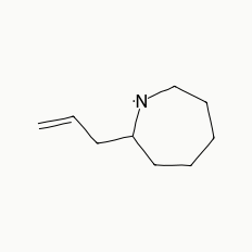 C=CCC1CCCCC[N]1